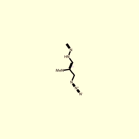 C=NN/C=C(/CN=[N+]=[N-])NC